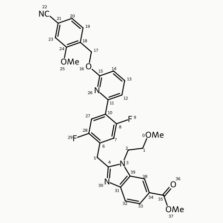 COCCn1c(Cc2cc(F)c(-c3cccc(OCc4ccc(C#N)cc4OC)n3)cc2F)nc2ccc(C(=O)OC)cc21